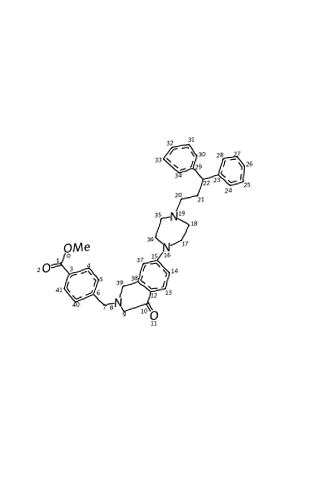 COC(=O)c1ccc(CN2CC(=O)c3ccc(N4CCN(CCC(c5ccccc5)c5ccccc5)CC4)cc3C2)cc1